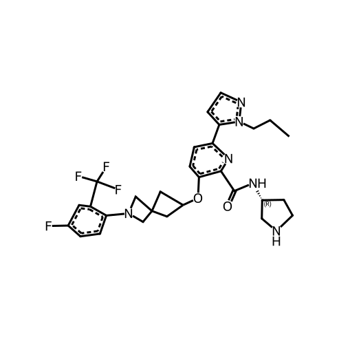 CCCn1nccc1-c1ccc(OC2CC3(C2)CN(c2ccc(F)cc2C(F)(F)F)C3)c(C(=O)N[C@@H]2CCNC2)n1